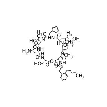 CCC/C=C\c1ccccc1/C=C/C(=O)N[C@@H]1C(=O)N(C)/C(=C/c2ccc(O)cc2)C(=O)N[C@@H](CC(C)C)C(=O)N[C@H](Cc2ccccc2)C(=O)N[C@@H]([C@H](C)O)C(=O)N[C@@H](CC(N)=O)C(=O)N[C@@H](CO)C(=O)O[C@@H]1C